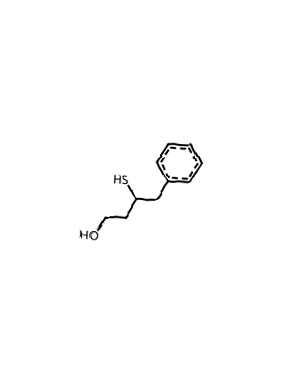 OCCC(S)Cc1ccccc1